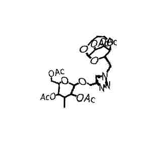 CC(=O)OCC1OC(OCc2cn(CC3OC4OCCCOC3C(OC(C)=O)C4OC(C)=O)nn2)C(OC(C)=O)C(C)C1OC(C)=O